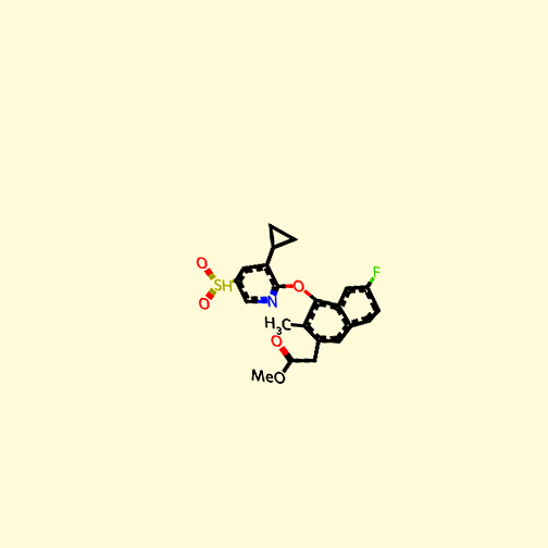 COC(=O)Cc1cc2ccc(F)cc2c(Oc2ncc([SH](=O)=O)cc2C2CC2)c1C